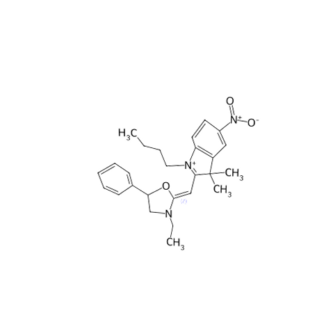 CCCC[N+]1=C(/C=C2\OC(c3ccccc3)CN2CC)C(C)(C)c2cc([N+](=O)[O-])ccc21